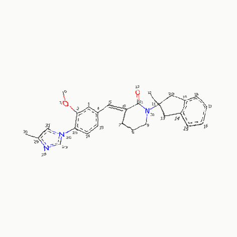 COc1cc(/C=C2\CCCN(C3(C)Cc4ccccc4C3)C2=O)ccc1-n1cnc(C)c1